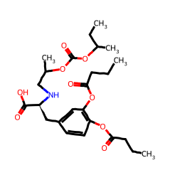 CCCC(=O)Oc1ccc(C[C@H](NCC(C)OC(=O)OC(C)CC)C(=O)O)cc1OC(=O)CCC